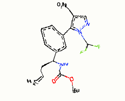 C=CC[C@H](NC(=O)OC(C)(C)C)c1cccc(-c2c([N+](=O)[O-])cnn2C(F)F)c1